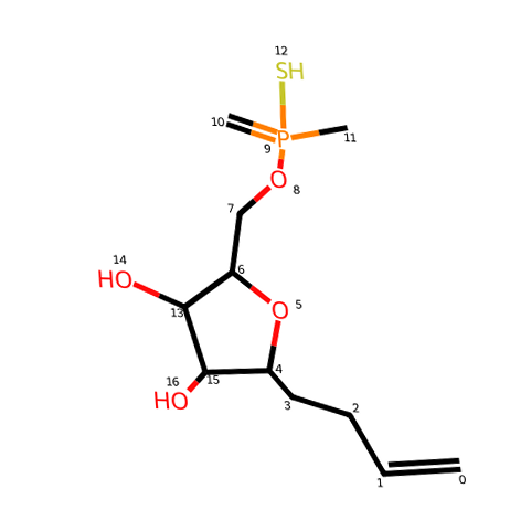 C=CCCC1OC(COP(=C)(C)S)C(O)C1O